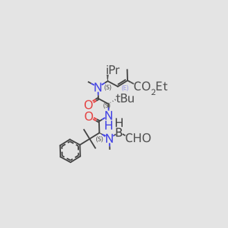 CCOC(=O)/C(C)=C/[C@H](C(C)C)N(C)C(=O)[C@@H](NC(=O)[C@@H](N(C)BC=O)C(C)(C)c1ccccc1)C(C)(C)C